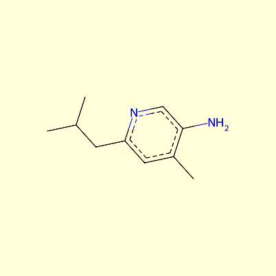 Cc1cc(CC(C)C)ncc1N